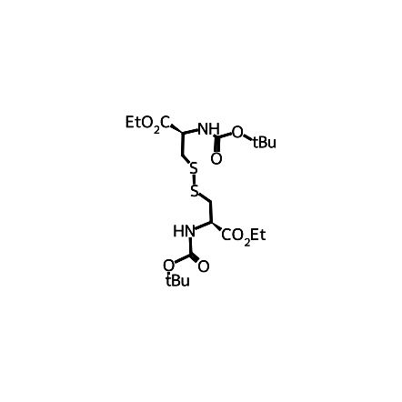 CCOC(=O)[C@H](CSSC[C@H](NC(=O)OC(C)(C)C)C(=O)OCC)NC(=O)OC(C)(C)C